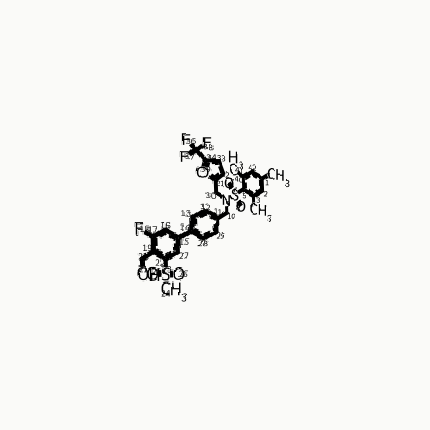 Cc1cc(C)c(S(=O)(=O)N(Cc2ccc(-c3cc(F)c(CO)c(S(C)(=O)=O)c3)cc2)Cc2ccc(C(F)(F)F)o2)c(C)c1